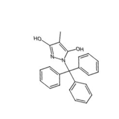 Cc1c(O)nn(C(c2ccccc2)(c2ccccc2)c2ccccc2)c1O